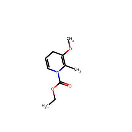 CCOC(=O)N1C=CCC(OC)=C1C